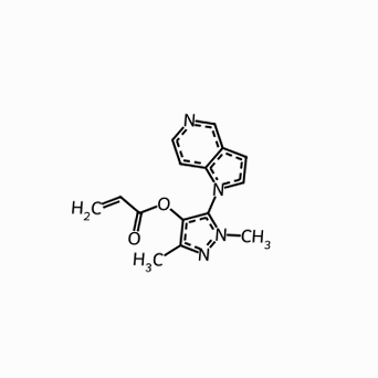 C=CC(=O)Oc1c(C)nn(C)c1-n1ccc2cnccc21